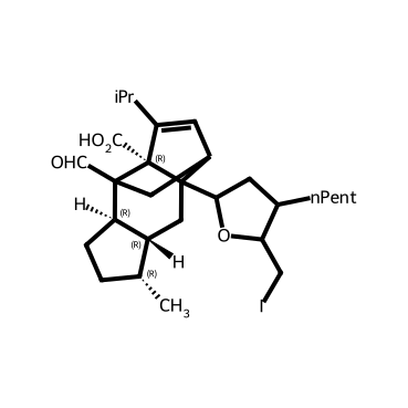 CCCCCC1CC(C23C[C@@H]4[C@H](C)CC[C@H]4C4(C=O)CC2C=C(C(C)C)[C@@]34C(=O)O)OC1CI